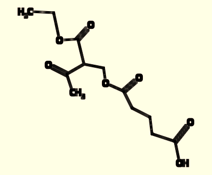 CCOC(=O)C(COC(=O)CCCC(=O)O)C(C)=O